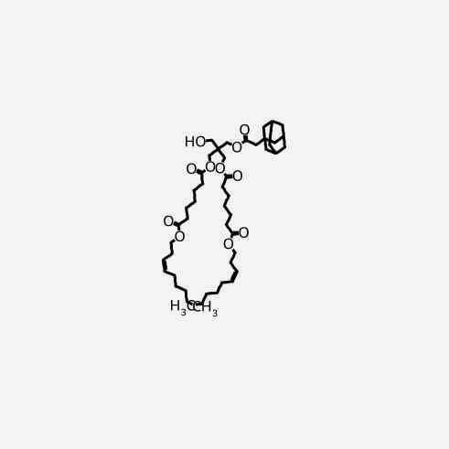 CCCCC/C=C\CCOC(=O)CCCCCC(=O)OCC(CO)(COC(=O)CCCCCC(=O)OCC/C=C\CCCCC)COC(=O)CC12CC3CC(CC(C3)C1)C2